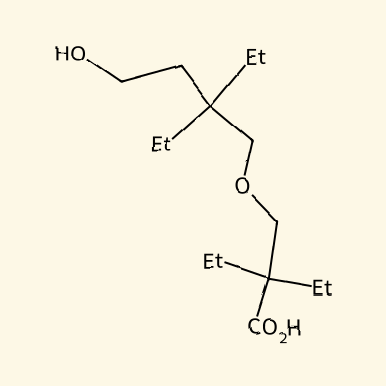 CCC(CC)(CCO)COCC(CC)(CC)C(=O)O